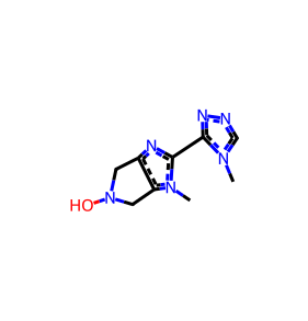 Cn1cnnc1-c1nc2c(n1C)CN(O)C2